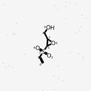 C=CS(=O)(=O)C1OC1CO